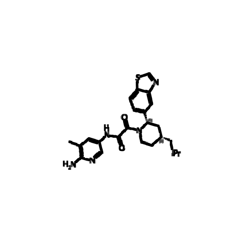 Cc1cc(NC(=O)C(=O)N2CC[C@@H](CC(C)C)C[C@H]2c2ccc3scnc3c2)cnc1N